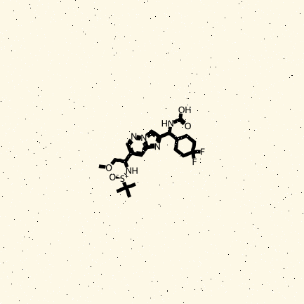 COCC(N[S@+]([O-])C(C)(C)C)c1cnn2cc(C(NC(=O)O)C3CCC(F)(F)CC3)nc2c1